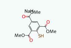 COC(=O)c1cc(C(=O)OC)c(S)c(C(=O)OC)c1.[NaH]